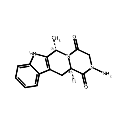 C[C@H]1c2[nH]c3ccccc3c2C[C@@H]2C(=O)N(N)CC(=O)N21